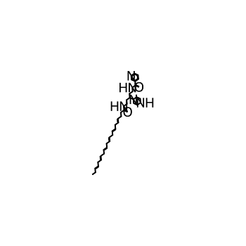 CCC=CCC=CCC=CCC=CCC=CCC=CCCC(=O)NCCC(CCNC(=O)c1cccnc1)N1CCNCC1